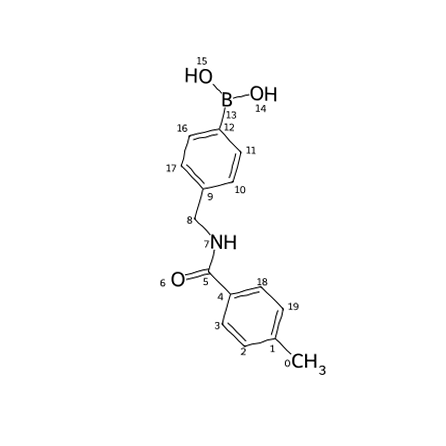 Cc1ccc(C(=O)NCc2ccc(B(O)O)cc2)cc1